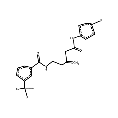 C=C(CCNC(=O)c1cccc(C(F)(F)F)c1)CC(=O)Nc1ccc(F)cc1